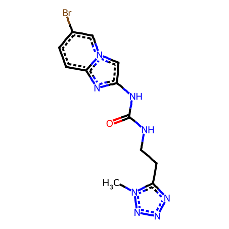 Cn1nnnc1CCNC(=O)Nc1cn2cc(Br)ccc2n1